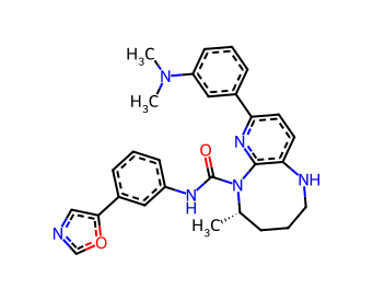 C[C@H]1CCCNc2ccc(-c3cccc(N(C)C)c3)nc2N1C(=O)Nc1cccc(-c2cnco2)c1